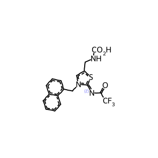 O=C(O)NCc1cn(Cc2cccc3ccccc23)/c(=N/C(=O)C(F)(F)F)s1